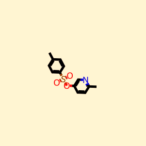 Cc1ccc(S(=O)(=O)Oc2ccc(C)nc2)cc1